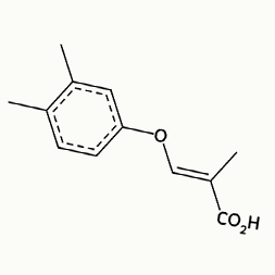 CC(=COc1ccc(C)c(C)c1)C(=O)O